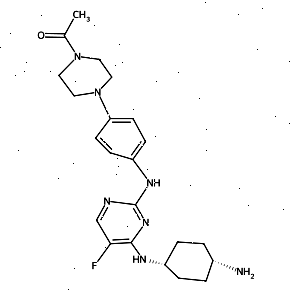 CC(=O)N1CCN(c2ccc(Nc3ncc(F)c(N[C@H]4CC[C@@H](N)CC4)n3)cc2)CC1